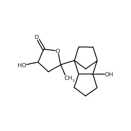 CC1(C23CCC(C2)C2(O)CCCC23)CC(O)C(=O)O1